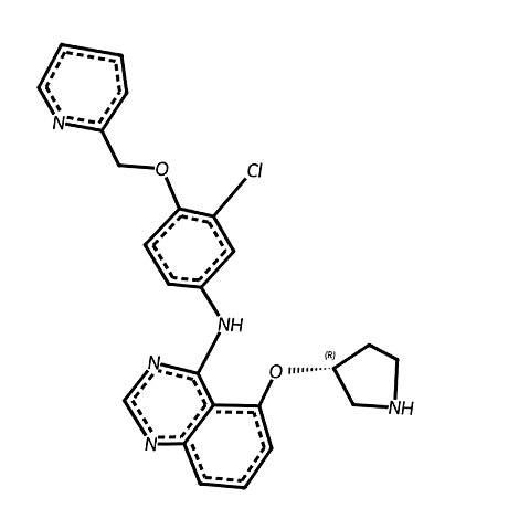 Clc1cc(Nc2ncnc3cccc(O[C@@H]4CCNC4)c23)ccc1OCc1ccccn1